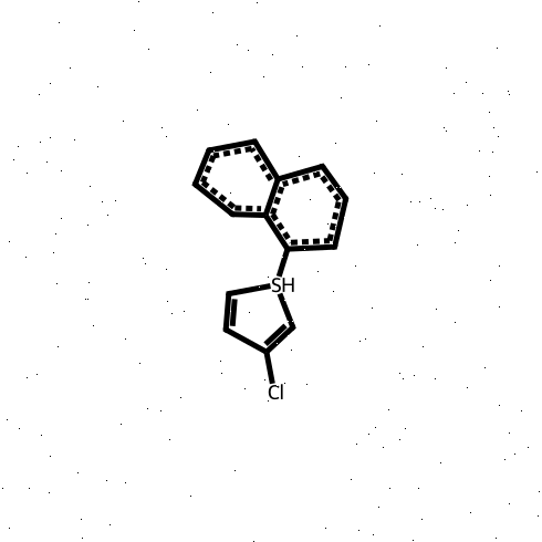 ClC1=C[SH](c2cccc3ccccc23)C=C1